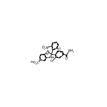 NC(=O)c1ccc(C2(c3c(Cl)cccc3[N+](=O)[O-])Nc3ccc(C(=O)O)cc3N2)c(Cl)c1